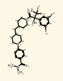 CN(C)C(=O)c1ccc(N2CCC(CC3CCN(C(=O)C(O)(c4cc(F)cc(F)c4)C(F)(F)F)CC3)CC2)cc1